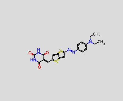 CCN(CC)c1ccc(/N=N/c2cc3sc(C=C4C(=O)NC(=O)NC4=O)cc3s2)cc1